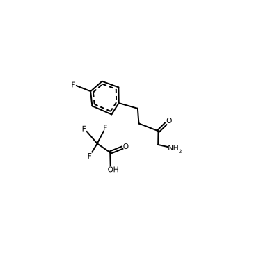 NCC(=O)CCc1ccc(F)cc1.O=C(O)C(F)(F)F